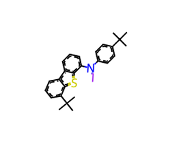 CC(C)(C)c1ccc(N(I)c2cccc3c2sc2c(C(C)(C)C)cccc23)cc1